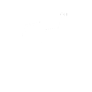 C#CCc1ccccc1CO